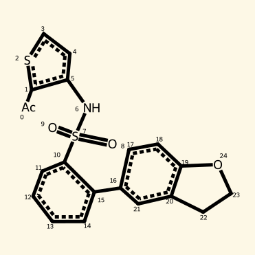 CC(=O)c1sccc1NS(=O)(=O)c1ccccc1-c1ccc2c(c1)CCO2